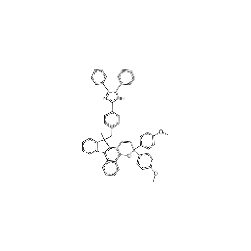 COc1ccc(C2(c3ccc(OC)cc3)C=Cc3c4c(c5ccccc5c3O2)-c2ccccc2C4(C)Cc2ccc(-c3nc(-c4ccccc4)c(-c4ccccc4)[nH]3)cc2)cc1